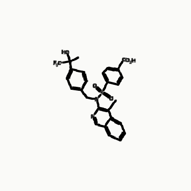 Cc1c(N(Cc2ccc(C(C)(O)C(F)(F)F)cc2)S(=O)(=O)c2ccc(C(=O)O)cc2)ncc2ccccc12